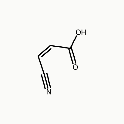 N#C/C=C\C(=O)O